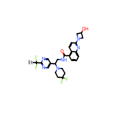 CCC(F)(F)c1ncc(C(CNC(=O)c2cccc3nc(N4CC(O)C4)ccc23)N2CCC(F)(F)CC2)cn1